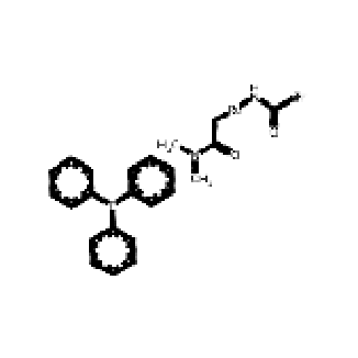 CC(C)C(=O)[NH][Ru][CH2]C(=O)N(C)C.c1ccc(P(c2ccccc2)c2ccccc2)cc1